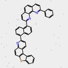 c1ccc(-c2ccc3ccc4ccc(-c5cccc6c(-c7ccc8c(ccc9sc%10ccccc%10c98)n7)cccc56)nc4c3n2)cc1